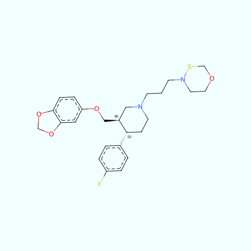 Fc1ccc([C@H]2CCN(CCCN3CCOCS3)C[C@@H]2COc2ccc3c(c2)OCO3)cc1